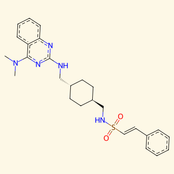 CN(C)c1nc(NC[C@H]2CC[C@H](CNS(=O)(=O)/C=C/c3ccccc3)CC2)nc2ccccc12